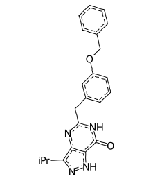 CC(C)c1n[nH]c2c(=O)[nH]c(Cc3cccc(OCc4ccccc4)c3)nc12